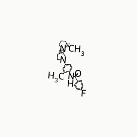 Cc1cc(N2CC[C@H](N3CCC[C@@H]3C)C2)ccc1NC(=O)c1ccc(F)cc1